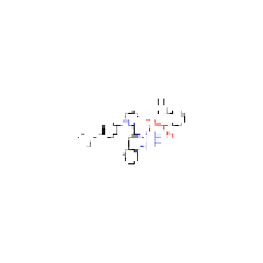 Cc1ccccc1S(=O)(=O)NC(=O)N[C@@H](Cc1ccccc1)c1nccn1-c1ccc([N+](=O)[O-])cc1